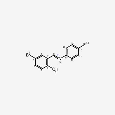 Oc1ccc(Br)cc1/C=N/c1ccc(F)cc1